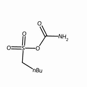 CCCCCS(=O)(=O)OC(N)=O